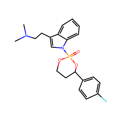 CN(C)CCc1cn(P2(=O)OCCC(c3ccc(F)cc3)O2)c2ccccc12